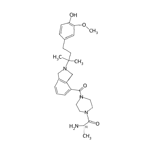 COc1cc(CCC(C)(C)N2Cc3cccc(C(=O)N4CCN(C(=O)[C@H](C)N)CC4)c3C2)ccc1O